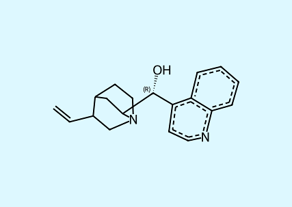 C=CC1CN2CCC1CC2[C@H](O)c1ccnc2ccccc12